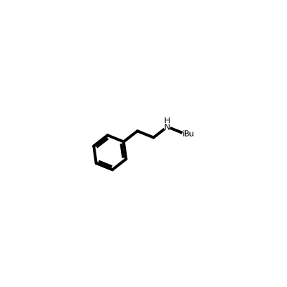 CCC(C)NCCc1ccccc1